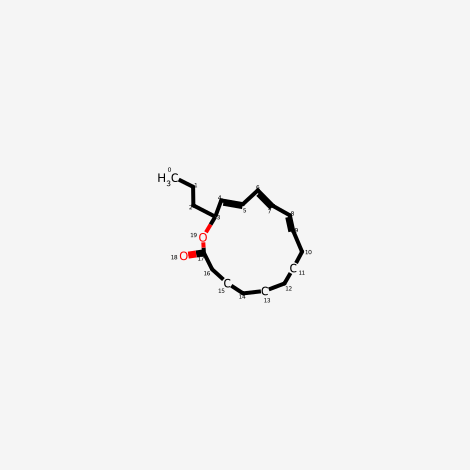 CCCC1/C=C/C=C/C=C/CCCCCCCC(=O)O1